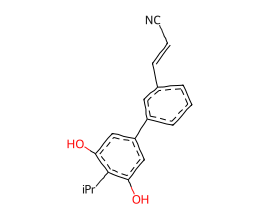 CC(C)c1c(O)cc(-c2cccc(C=CC#N)c2)cc1O